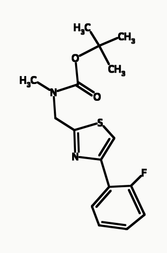 CN(Cc1nc(-c2ccccc2F)cs1)C(=O)OC(C)(C)C